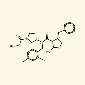 CC(C)(C)OC(=O)N1CC[C@H]([C@H](Cc2ccc(I)cc2Br)C(=O)N2C(O)OC[C@@H]2Cc2ccccc2)C1